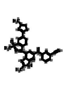 Cc1csc(-c2ccc(Nc3cc(Nc4cccc(C#N)n4)nc4[nH]c(C)nc34)c(S(C)(=O)=O)c2)n1